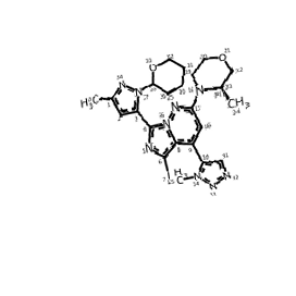 Cc1cc(-c2nc(I)c3c(-c4cnnn4C)cc(N4CCOC[C@H]4C)nn23)n(C2CCCCO2)n1